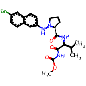 COC(=O)NC(=O)C(NC(=O)[C@@H]1CCCN1Nc1ccc2cc(Br)ccc2c1)C(C)C